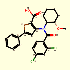 CO[C@H]1CCCCC1N(C(=O)c1ccc(Cl)cc1Cl)c1cc(-c2ccccc2)sc1C(=O)O